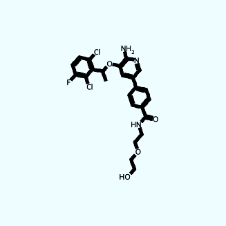 CC(Oc1cc(-c2ccc(C(=O)NCCOCCO)cc2)cnc1N)c1c(Cl)ccc(F)c1Cl